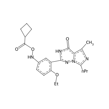 CCCc1nc(C)c2c(=O)[nH]c(-c3cc(NOC(=O)C4CCC4)ccc3OCC)nn12